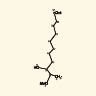 [CH2]C(OC)C(O)CCCCCCCCCCCCCCC